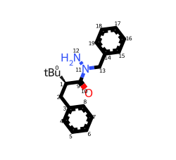 [CH2]C(C)(C)[C@H](Cc1ccccc1)C(=O)N(N)Cc1ccccc1